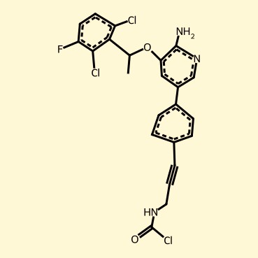 CC(Oc1cc(-c2ccc(C#CCNC(=O)Cl)cc2)cnc1N)c1c(Cl)ccc(F)c1Cl